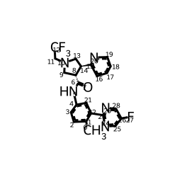 Cc1ccc(NC(=O)[C@@H]2CN(CC(F)(F)F)C[C@H]2c2ccccn2)cc1-c1ncc(F)cn1